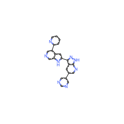 c1ccc(-c2cncc3[nH]c(-c4n[nH]c5ncc(-c6cncnc6)cc45)cc23)nc1